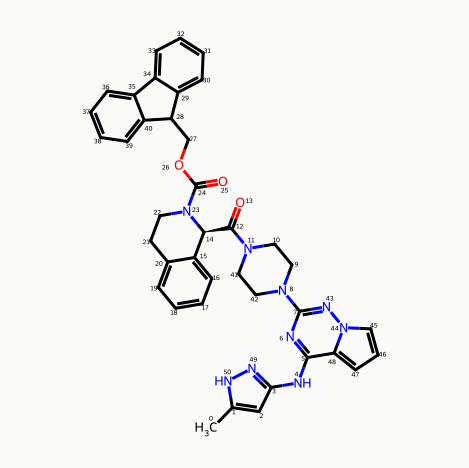 Cc1cc(Nc2nc(N3CCN(C(=O)[C@H]4c5ccccc5CCN4C(=O)OCC4c5ccccc5-c5ccccc54)CC3)nn3cccc23)n[nH]1